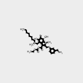 CCCCCCCCN(C)Cc1c(O)c(Br)cc2c1c(C(=O)OC(=O)OCC)c(CSc1cccc(CN)c1)n2C.Cl